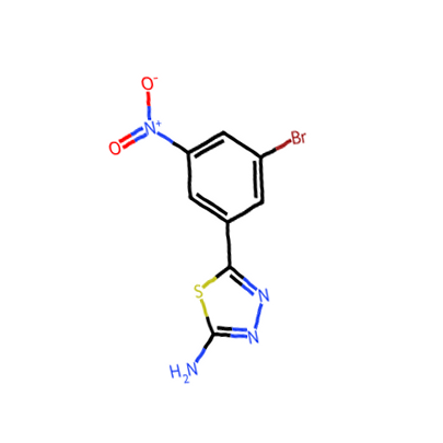 Nc1nnc(-c2cc(Br)cc([N+](=O)[O-])c2)s1